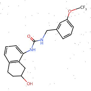 O=C(NCc1cccc(OC(F)(F)F)c1)Nc1cccc2c1CC(O)CC2